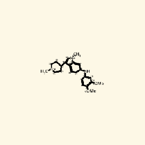 COc1ccc(NC2C=c3c(c(C4CCN(C)CC4)cn3C)=CC2)cc1OC